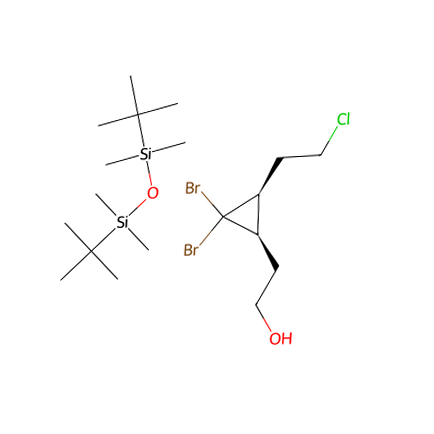 CC(C)(C)[Si](C)(C)O[Si](C)(C)C(C)(C)C.OCC[C@@H]1[C@H](CCCl)C1(Br)Br